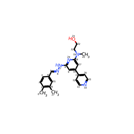 Cc1ccc(C=NNc2cc(-c3ccncc3)cc(N(C)CCO)n2)cc1C